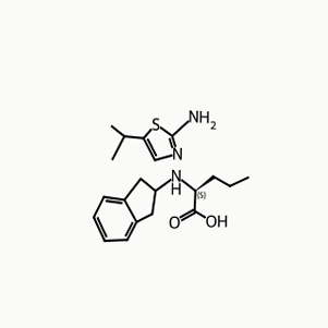 CC(C)c1cnc(N)s1.CCC[C@H](NC1Cc2ccccc2C1)C(=O)O